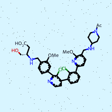 COc1cc(-c2nccc(-c3cccc(-c4ccc(CNC5CCN(C(C)=O)CC5)c(OC)n4)c3Cl)c2Cl)ccc1CN[C@H](CO)CC(=O)O